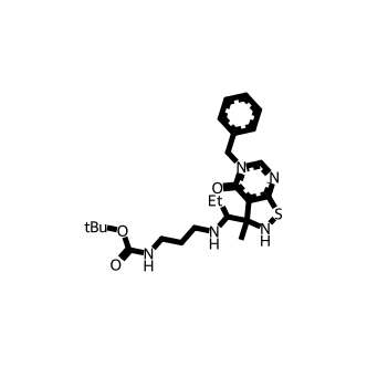 CCC(NCCCNC(=O)OC(C)(C)C)C1(C)NSc2ncn(Cc3ccccc3)c(=O)c21